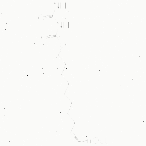 CCCCCCCC/C=C\CCCCCCCCOC(=O)NC(N)=O